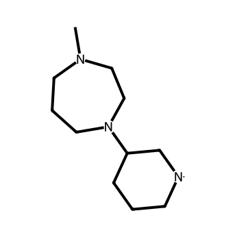 CN1CCCN(C2CCC[N]C2)CC1